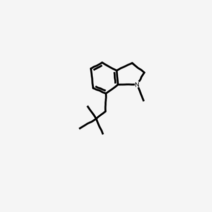 CN1CCc2cccc(CC(C)(C)C)c21